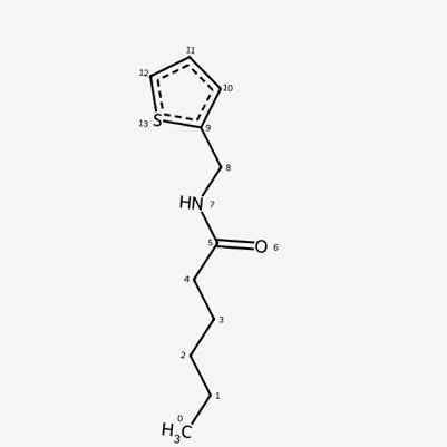 CCCCCC(=O)NCc1cccs1